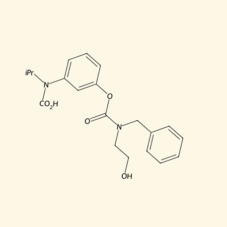 CC(C)N(C(=O)O)c1cccc(OC(=O)N(CCO)Cc2ccccc2)c1